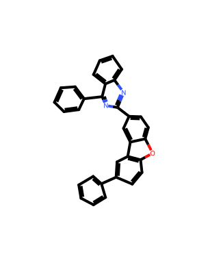 c1ccc(-c2ccc3oc4ccc(-c5nc(-c6ccccc6)c6ccccc6n5)cc4c3c2)cc1